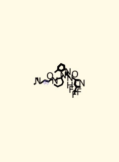 Cc1cccc2nc(NC(=O)c3cncc(C(F)(F)F)c3)n(C3CCCCN(C(=O)/C=C/CN(C)C)C3)c12